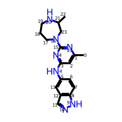 Cc1cc(Nc2ccc3[nH]ncc3c2)nc(N2CCCNC(C)C2)n1